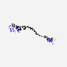 CCCCc1cc(Cc2ccc(CCCCCCCCCCCCCCc3ccc(Cc4ccc(N)c(CCCC)c4)cc3)cc2)ccc1N